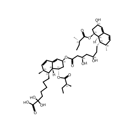 CC[C@H](C)C(=O)O[C@H]1C[C@H](O)C=C2C=C[C@H](C)[C@H](CC[C@@H](O)C[C@@H](O)CC(=O)O[C@@H]3C=C4C=C[C@H](C)[C@H](CCCCCC(O)(O)C(=O)O)[C@H]4[C@@H](OC(=O)[C@@H](C)CC)C3)[C@H]21